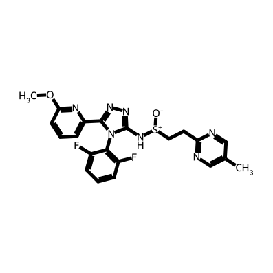 COc1cccc(-c2nnc(N[S+]([O-])CCc3ncc(C)cn3)n2-c2c(F)cccc2F)n1